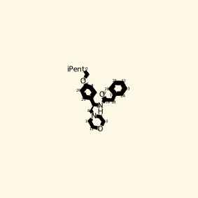 CCCC(C)COc1ccc([C@H](CN2CCOCC2)NC(=O)Cc2ccccc2)cc1